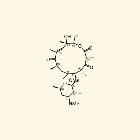 CC[C@H]1OC(=O)[C@H](C)C(=O)[C@H](C)[C@@H](O[C@@H]2O[C@H](C)C[C@H](NC)[C@H]2C)[C@](C)(OC)C[C@@H](C)C(=O)/C(C)=C/[C@]1(C)O